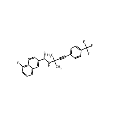 CC(C)(C#Cc1ccc(C(F)(F)F)cc1)NC(=O)c1cnc2c(F)cccc2c1